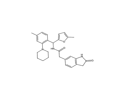 Cc1ccc(C(NC(=O)Cc2ccc3c(c2)NC(=O)C3)c2ccc(C)o2)c(N2CCCCC2)c1